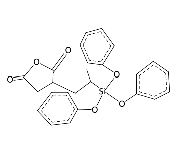 CC(CC1CC(=O)OC1=O)[Si](Oc1ccccc1)(Oc1ccccc1)Oc1ccccc1